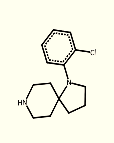 Clc1ccccc1N1CCCC12CCNCC2